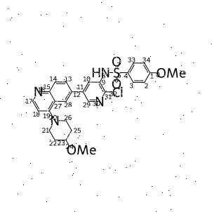 COc1ccc(S(=O)(=O)Nc2cc(-c3ccc4nccc(N5CCC(OC)CC5)c4c3)cnc2Cl)cc1